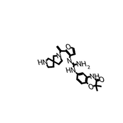 C=C(c1occc1/N=C(\N)Nc1ccc2c(c1)NC(=O)C(C)(C)O2)N1CCC2(CCNC2)C1